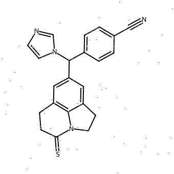 N#Cc1ccc(C(c2cc3c4c(c2)CCN4C(=S)CC3)n2ccnc2)cc1